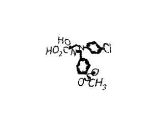 CS(=O)(=O)c1ccc(C2=NC(O)(C(=O)O)CN2c2ccc(Cl)cc2)cc1